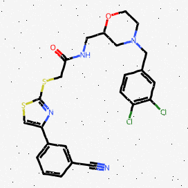 N#Cc1cccc(-c2csc(SCC(=O)NCC3CN(Cc4ccc(Cl)c(Cl)c4)CCO3)n2)c1